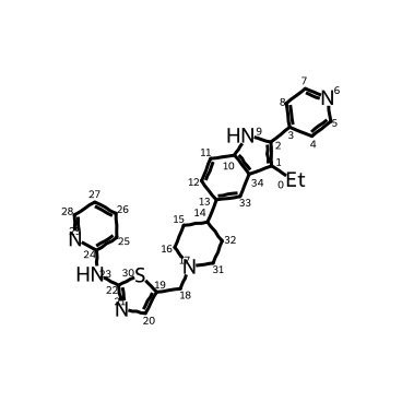 CCc1c(-c2ccncc2)[nH]c2ccc(C3CCN(Cc4cnc(Nc5ccccn5)s4)CC3)cc12